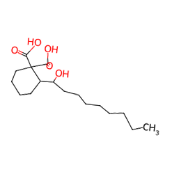 CCCCCCCCC(O)C1CCCCC1(C(=O)O)C(=O)O